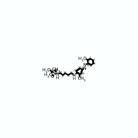 Cc1ccccc1/N=N/c1ccc(NCCCCCNS(=O)(=O)C(C)(C)C)c(C)c1